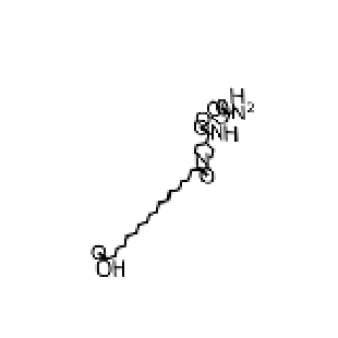 NC(=O)C[C@@H](NC(=O)C1CCN(C(=O)CCCCCCCCCCCCCCCCC(=O)O)CC1)C(=O)O